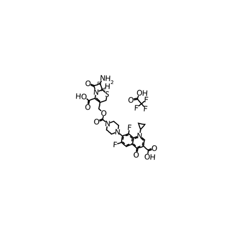 N[C@@H]1C(=O)N2C(C(=O)O)=C(COC(=O)N3CCN(c4c(F)cc5c(=O)c(C(=O)O)cn(C6CC6)c5c4F)CC3)CS[C@H]12.O=C(O)C(F)(F)F